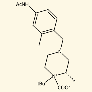 CC(=O)Nc1ccc(CN2CC[N+](C(=O)[O-])(C(C)(C)C)[C@@H](C)C2)c(C)c1